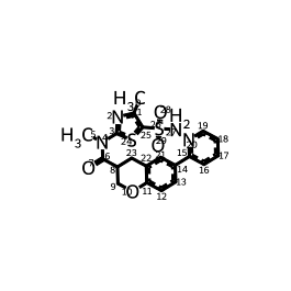 Cc1nc(N(C)C(=O)C2COc3ccc(-c4ccccn4)cc3C2)sc1S(N)(=O)=O